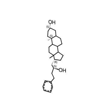 CC12CCC3C(CCC4C[C@@H](O)CC[C@@]43C)C1CC[C@@H]2C[C@@H](O)CCc1ccccc1